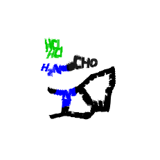 Cc1cc2ccccc2n1C.Cl.Cl.NC=O